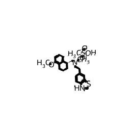 COc1cccc2c1CCC[C@H]2CN(C)CCc1ccc2c(c1)SCN2.CS(=O)(=O)O